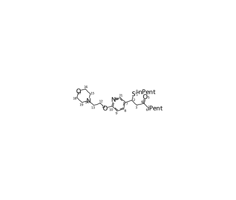 CCCCCSC(CC(=O)C(C)CCC)c1ccc(OCCN2CCOCC2)nc1